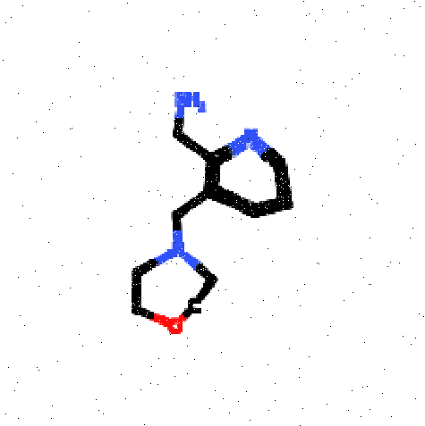 NCc1ncccc1CN1CCOCC1